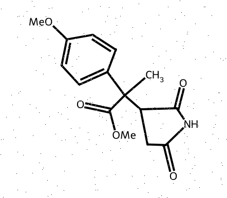 COC(=O)C(C)(c1ccc(OC)cc1)C1CC(=O)NC1=O